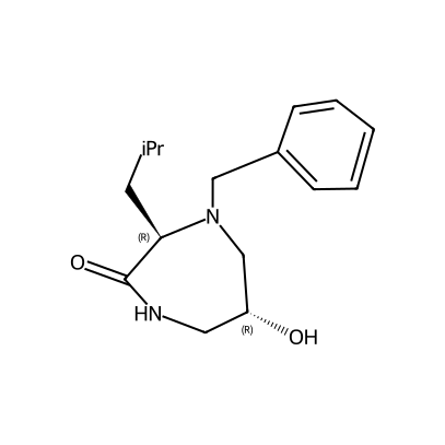 CC(C)C[C@@H]1C(=O)NC[C@@H](O)CN1Cc1ccccc1